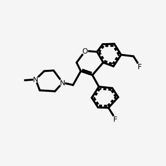 CN1CCN(CC2=C(c3ccc(F)cc3)c3cc(CF)ccc3OC2)CC1